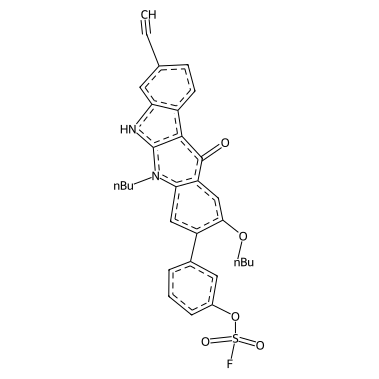 C#Cc1ccc2c(c1)[nH]c1c2c(=O)c2cc(OCCCC)c(-c3cccc(OS(=O)(=O)F)c3)cc2n1CCCC